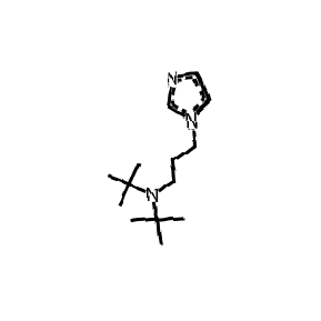 CC(C)(C)N(CCCn1ccnc1)C(C)(C)C